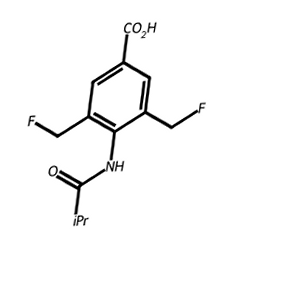 CC(C)C(=O)Nc1c(CF)cc(C(=O)O)cc1CF